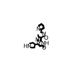 Cc1nn2c(C3CCNCC3)cc(=O)[nH]c2c1C(=O)N(C)Cc1ccccn1